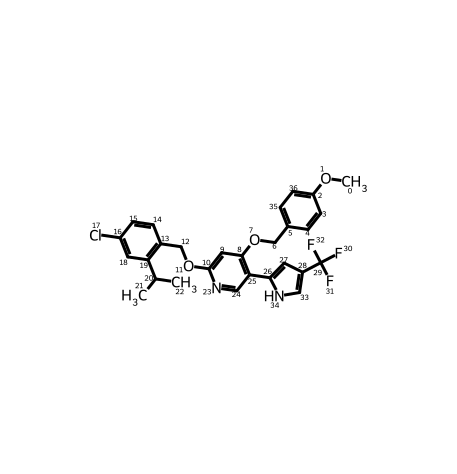 COc1ccc(COc2cc(OCc3ccc(Cl)cc3C(C)C)ncc2-c2cc(C(F)(F)F)c[nH]2)cc1